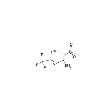 Bc1cc(C(F)(F)F)ccc1[SH](=O)=O